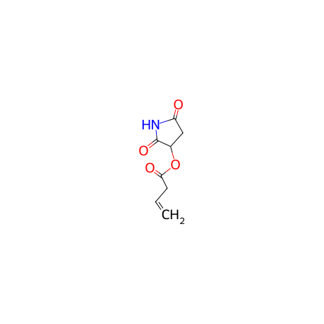 C=CCC(=O)OC1CC(=O)NC1=O